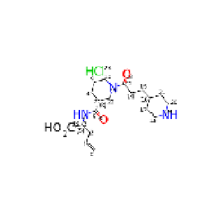 C=CC[C@H](NC(=O)[C@@H]1CCCN(C(=O)CCC2CCNCC2)C1)C(=O)O.Cl